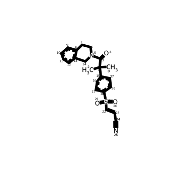 CC(C)(C(=O)N1CCc2ccccc2C1)c1ccc(S(=O)(=O)C=CC#N)cc1